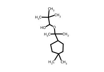 CC1(C)CCC(C(C)(C)OC(O)C(C)(C)C)CC1